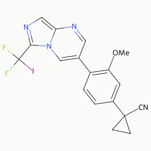 COc1cc(C2(C#N)CC2)ccc1-c1cnc2cnc(C(F)(F)I)n2c1